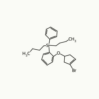 CCCC[Si](CCCC)(c1ccccc1)c1ccccc1OC1CC=C(Br)C1